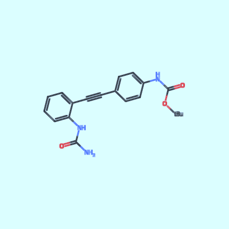 CC(C)(C)OC(=O)Nc1ccc(C#Cc2ccccc2NC(N)=O)cc1